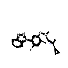 C/C(=C\N(C)Oc1cc(-n2nnc3ccccc32)c(F)cc1C)C1CC1